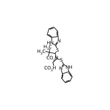 CC(C)(C(=O)O)C(Sc1nc2ccccc2[nH]1)C(CC(=O)O)Sc1nc2ccccc2[nH]1